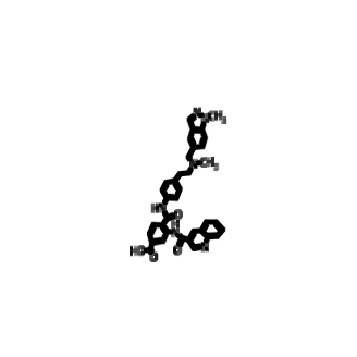 CN(CCc1ccc(NC(=O)c2ccc(C(=O)O)cc2NC(=O)c2cnc3ccccc3c2)cc1)Cc1ccc2c(cnn2C)c1